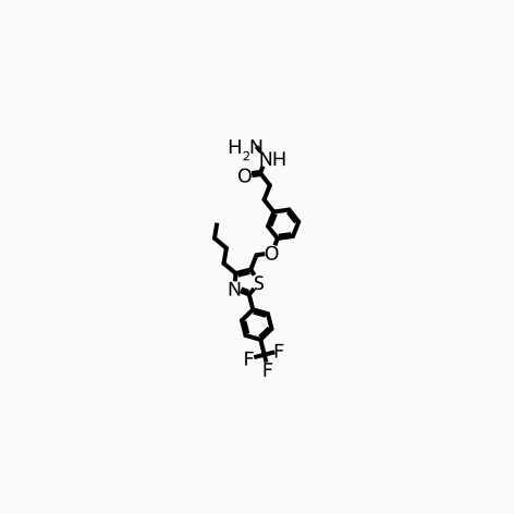 CCCCc1nc(-c2ccc(C(F)(F)F)cc2)sc1COc1cccc(CCC(=O)NN)c1